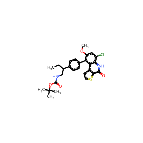 CCC(CNC(=O)OC(C)(C)C)c1ccc(-c2c(OC)cc(Cl)c3[nH]c(=O)c4sccc4c23)cc1